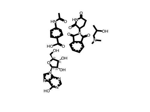 CC(=O)Nc1ccc(C(=O)O)cc1.CC(O)CN(C)C.O=C1CCC(N2C(=O)c3ccccc3C2=O)C(=O)N1.OC[C@@H]1O[C@H](n2cnc3c(O)ncnc32)[C@@H](O)[C@H]1O